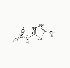 Cc1nnc(N[SH](=O)=O)s1